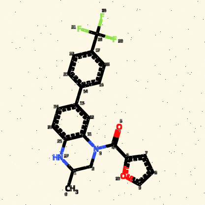 CC1CN(C(=O)c2ccco2)c2cc(-c3ccc(C(F)(F)F)cc3)ccc2N1